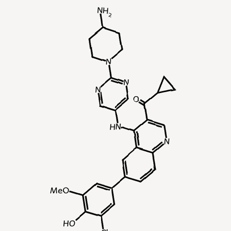 COc1cc(-c2ccc3ncc(C(=O)C4CC4)c(Nc4cnc(N5CCC(N)CC5)nc4)c3c2)cc(Cl)c1O